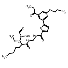 CCCCCC(C(=O)NCNC(=O)c1ccc(-c2cc(OCCC)cc(C(=O)OC)c2)o1)[C@@H](CC)N(O)C=O